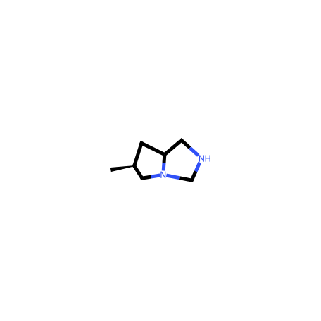 C[C@H]1CC2CNCN2C1